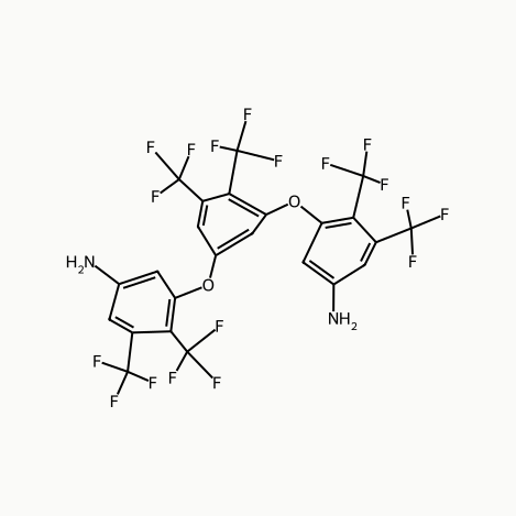 Nc1cc(Oc2cc(Oc3cc(N)cc(C(F)(F)F)c3C(F)(F)F)c(C(F)(F)F)c(C(F)(F)F)c2)c(C(F)(F)F)c(C(F)(F)F)c1